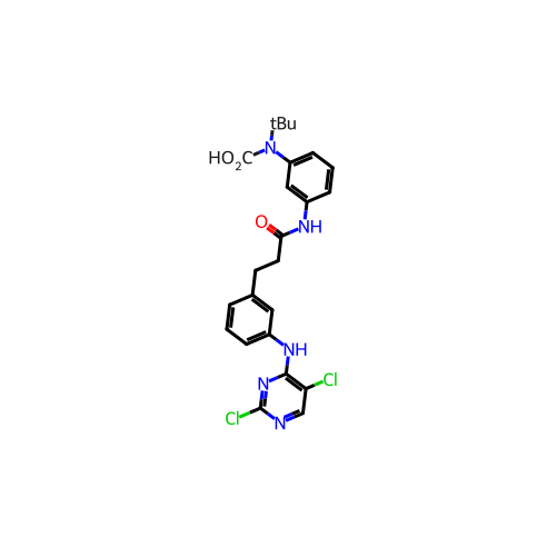 CC(C)(C)N(C(=O)O)c1cccc(NC(=O)CCc2cccc(Nc3nc(Cl)ncc3Cl)c2)c1